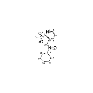 CS(=O)(=O)c1ncccc1C=[N+]([O-])C1CCCCC1